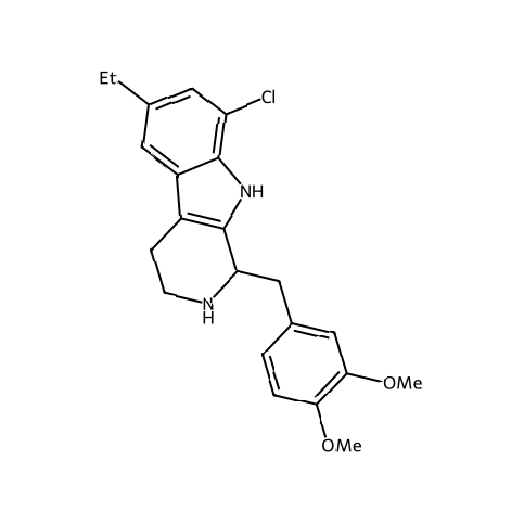 CCc1cc(Cl)c2[nH]c3c(c2c1)CCNC3Cc1ccc(OC)c(OC)c1